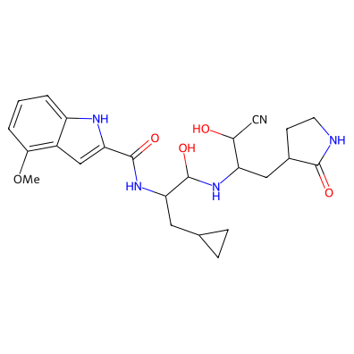 COc1cccc2[nH]c(C(=O)NC(CC3CC3)C(O)NC(CC3CCNC3=O)C(O)C#N)cc12